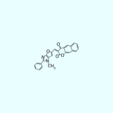 Cn1c(-c2ccccc2)nc2oc(/C=C3\C(=O)Oc4cc5ccccc5cc4C3=O)cc21